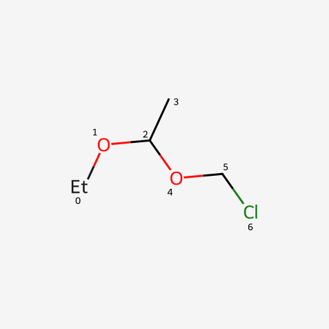 CCOC(C)OCCl